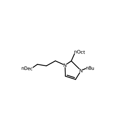 CCCCCCCCCCCCCN1C=CN(CCCC)C1CCCCCCCC